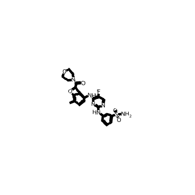 Cc1ccc(Nc2nc(Nc3cccc(S(N)(=O)=O)c3)ncc2F)c2c1OC2C(=O)N1CCOCC1